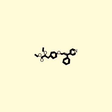 CCOC(=O)C(Cc1ccc(OC/C=C(\c2ccccc2)c2ccncc2)cc1)OCC